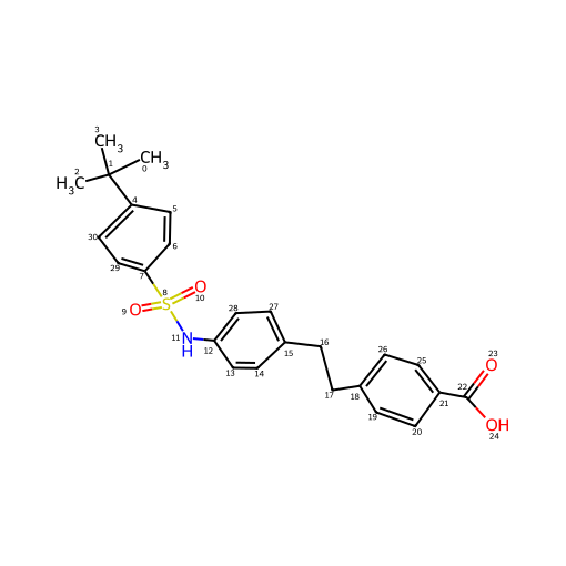 CC(C)(C)c1ccc(S(=O)(=O)Nc2ccc(CCc3ccc(C(=O)O)cc3)cc2)cc1